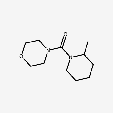 CC1CCCCN1C(=O)N1CCOCC1